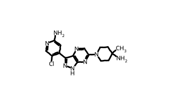 CC1(N)CCN(c2cnc3c(-c4cc(N)ncc4Cl)n[nH]c3n2)CC1